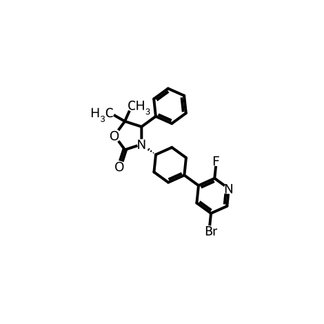 CC1(C)OC(=O)N([C@H]2CC=C(c3cc(Br)cnc3F)CC2)C1c1ccccc1